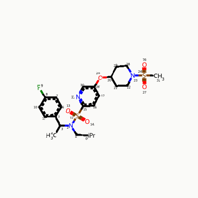 CC(C)CN(C(C)c1ccc(F)cc1)S(=O)(=O)c1ccc(OC2CCN(S(C)(=O)=O)CC2)cn1